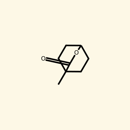 CC12CCC(CC1)OC2=O